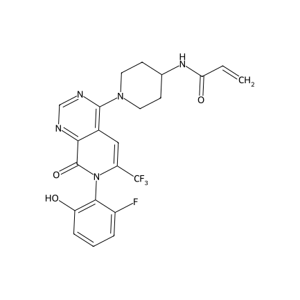 C=CC(=O)NC1CCN(c2ncnc3c(=O)n(-c4c(O)cccc4F)c(C(F)(F)F)cc23)CC1